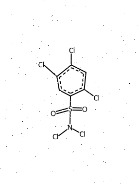 O=S(=O)(c1cc(Cl)c(Cl)cc1Cl)N(Cl)Cl